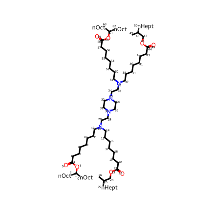 CCCCCCCCC(CCCCCCCC)OC(=O)CCCCCCCN(CCCCCCCC(=O)OCC(C)CCCCCCC)CCN1CCN(CCN(CCCCCCCC(=O)OCC(C)CCCCCCC)CCCCCCCC(=O)OC(CCCCCCCC)CCCCCCCC)CC1